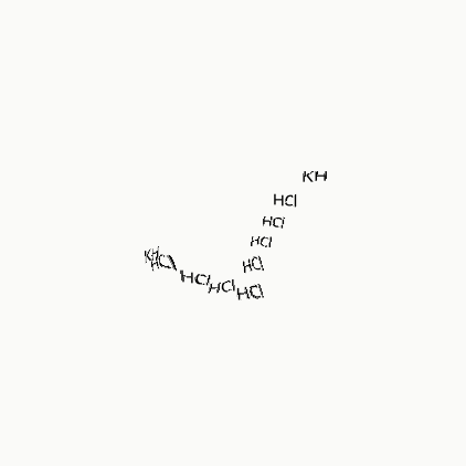 Cl.Cl.Cl.Cl.Cl.Cl.Cl.Cl.[KH].[KH]